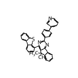 CC1(C)c2ccccc2-c2nc(-c3ccc(-c4cccnc4)cc3)nc(-c3cccc4c3sc3ccccc34)c21